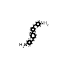 CC1(c2ccc(Cc3ccc(N)cc3)cc2)C=CC=C(Cc2ccc(N)cc2)C=C1